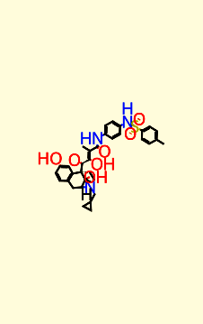 C/C(C(=O)Nc1ccc(NS(=O)(=O)c2ccc(C)cc2)cc1)=C(/O)[C@@H]1Oc2c(O)ccc3c2[C@@]12CCN(CC1CC1)[C@H](C3)[C@@]2(C)O